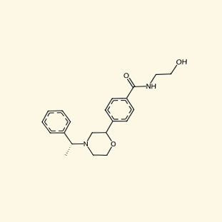 C[C@H](c1ccccc1)N1CCOC(c2ccc(C(=O)NCCO)cc2)C1